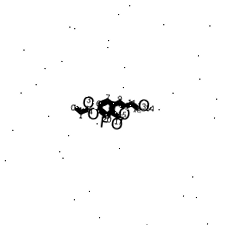 CCC(=O)Oc1ccc2cc(CCOC)oc(=O)c2c1F